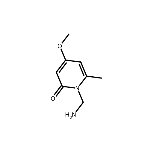 COc1cc(C)n(CN)c(=O)c1